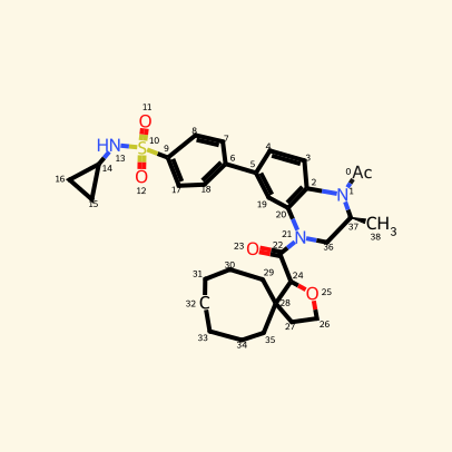 CC(=O)N1c2ccc(-c3ccc(S(=O)(=O)NC4CC4)cc3)cc2N(C(=O)C2OCCC23CCCCCCC3)C[C@@H]1C